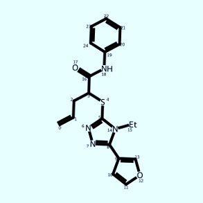 C=CCC(Sc1nnc(-c2ccoc2)n1CC)C(=O)Nc1ccccc1